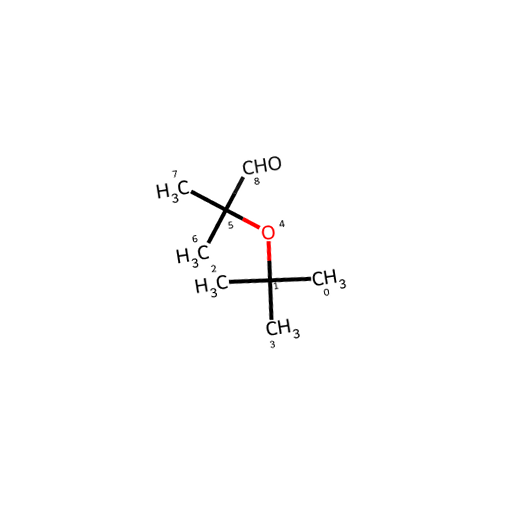 CC(C)(C)OC(C)(C)C=O